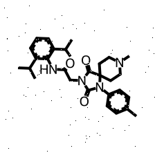 Cc1ccc(N2C(=O)N(CC(=O)Nc3c(C(C)C)cccc3C(C)C)C(=O)C23CCN(C)CC3)cc1